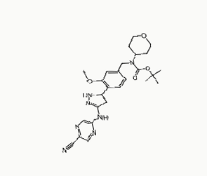 COc1cc(CN(C(=O)OC(C)(C)C)C2CCOCC2)ccc1C1CC(Nc2cnc(C#N)cn2)=NN1